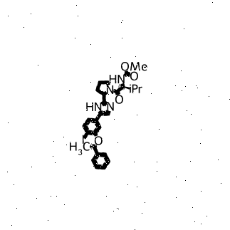 COC(=O)N[C@H](C(=O)N1CCCC1c1ncc(-c2ccc(I)c(O[C@H](C)c3ccccc3)c2)[nH]1)C(C)C